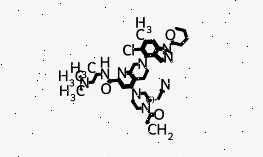 C=CC(=O)N1CCN(c2cc(C(=O)NC(C)CN(C)C)nc3c2CCN(c2c(Cl)c(C)cc4c2cnn4C2CCCCO2)C3)C[C@@H]1CC#N